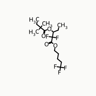 CCC(OC(=O)C(C)(C)CC)C(F)(F)C(=O)OCCCCC(F)(F)F